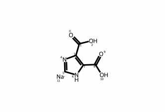 O=C(O)c1nc[nH]c1C(=O)O.[Na]